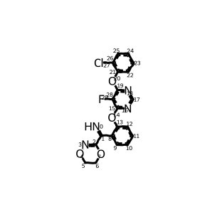 N=C(C1=NOCCO1)c1ccccc1Oc1ncnc(Oc2ccccc2Cl)c1F